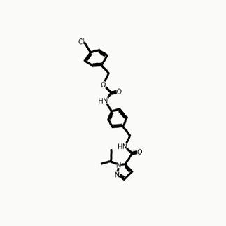 CC(C)n1nccc1C(=O)NCc1ccc(NC(=O)OCc2ccc(Cl)cc2)cc1